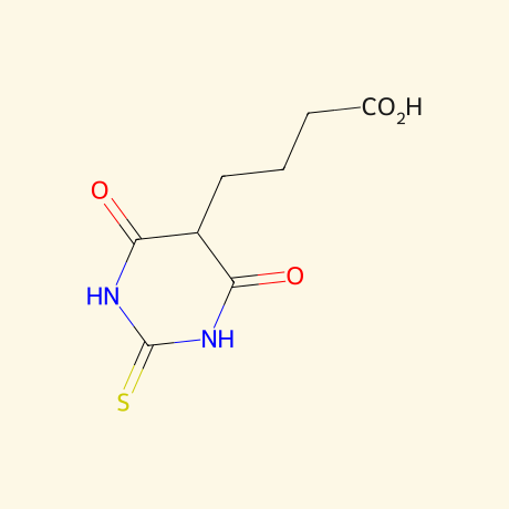 O=C(O)CCCC1C(=O)NC(=S)NC1=O